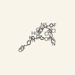 Cc1c(Cl)c2c(Cl)c(C)c1-c1c(-c3ccc(F)cc3)sc3ncnc(c13)OC(C(=O)O)Cc1cc(ccc1OCc1ccnc(-c3ccc(CCN4CCOCC4)cc3)n1)OC[C@@H](CN1CCN(C)CC1)O2